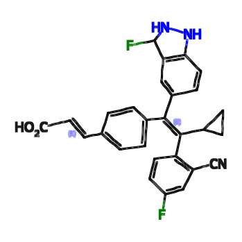 N#Cc1cc(F)ccc1/C(=C(\c1ccc(/C=C/C(=O)O)cc1)c1ccc2c(c1)C(F)NN2)C1CC1